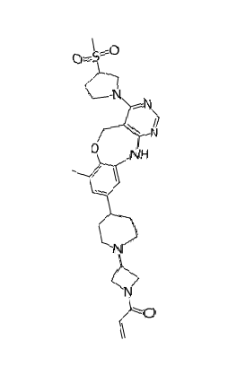 C=CC(=O)N1CC(N2CCC(c3cc(C)c4c(c3)Nc3ncnc(N5CCC(S(C)(=O)=O)C5)c3CO4)CC2)C1